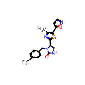 Cc1nc(C2CNC(=O)N2Cc2ccc(C(F)(F)F)cc2)sc1-c1ccno1